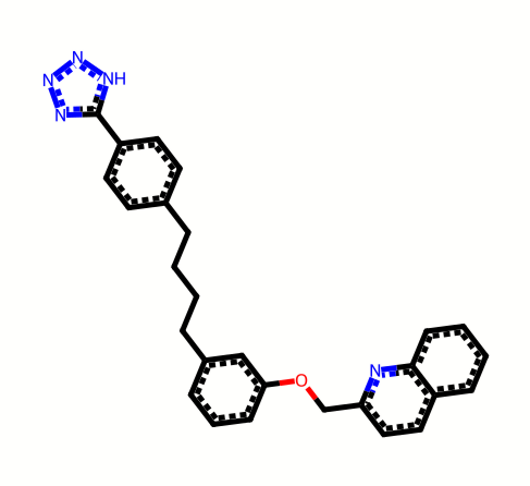 c1cc(CCCCc2ccc(-c3nnn[nH]3)cc2)cc(OCc2ccc3ccccc3n2)c1